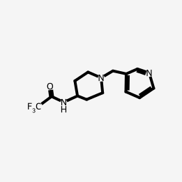 O=C(NC1CCN(Cc2cccnc2)CC1)C(F)(F)F